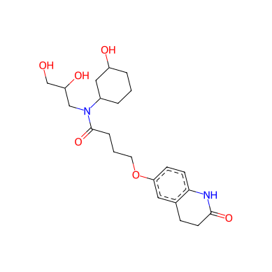 O=C1CCc2cc(OCCCC(=O)N(CC(O)CO)C3CCCC(O)C3)ccc2N1